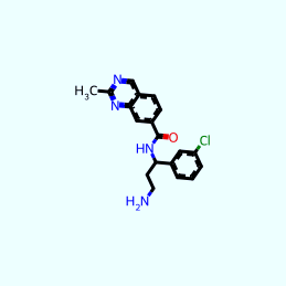 Cc1ncc2ccc(C(=O)NC(CCN)c3cccc(Cl)c3)cc2n1